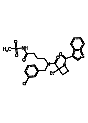 CCC1(C(=O)N(CCCC(=O)NS(C)(=O)=O)Cc2cccc(Cl)c2)CCN1C(=O)c1csc2ccccc12